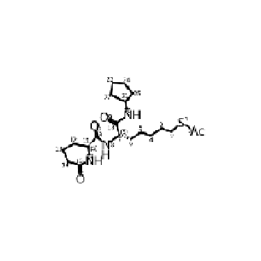 CC(=O)SCCCCC[C@H](NC(=O)[C@@H]1CCCC(=O)N1)C(=O)NC1CCCC1